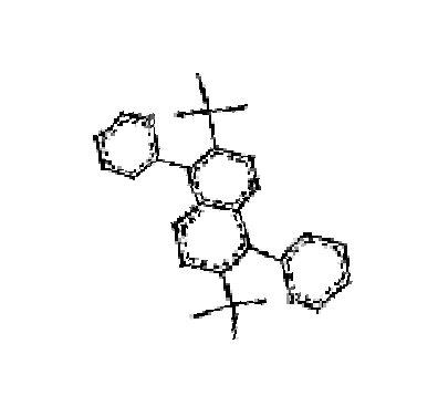 CC(C)(C)c1ccc2c(-c3bcccc3)c(C(C)(C)C)ccc2c1-c1bcccc1